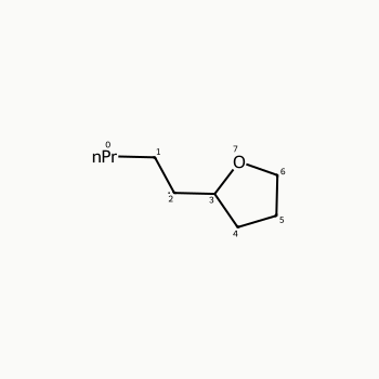 CCCC[CH]C1CCCO1